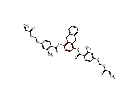 C=CC(=O)OCOc1ccc(C(=O)Oc2ccc(OC(=O)c3ccc(OCOC(=O)C=C)cc3C)c3c2C2c4ccccc4C3c3ccccc32)c(C)c1